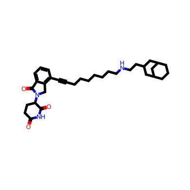 O=C1CCC(N2Cc3c(C#CCCCCCCCNCCC4CC5CCCC(C5)C4)cccc3C2=O)C(=O)N1